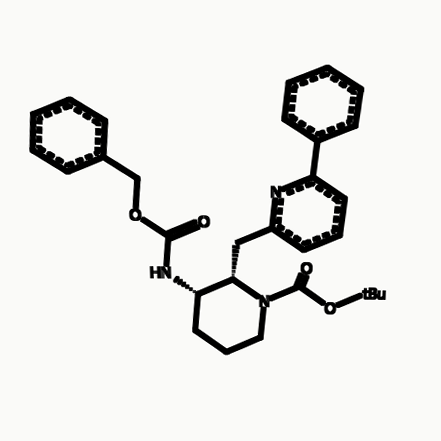 CC(C)(C)OC(=O)N1CCC[C@H](NC(=O)OCc2ccccc2)[C@@H]1Cc1cccc(-c2ccccc2)n1